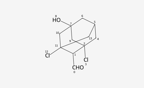 O=CC1C2(Cl)CC3CC(O)(C2)CC1(Cl)C3